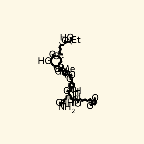 CC[C@H](O)[C@@H](C)[C@H]1O[C@@H]1C[C@H](C)/C=C/C=C(\C)[C@H]1OC(=O)C[C@H](O)CC[C@@](C)(OC)[C@@H](OC(=O)N2CCN(C(=O)OCc3ccc(NC(=O)[C@H](CCCNC(N)=O)NC[C@@H](NC(=O)CCCCCN4C(=O)C=CC4=O)C(C)C)cc3)CC2)/C=C/[C@@H]1C